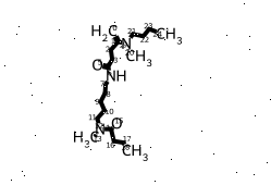 C=C(CCC(=O)NCCCCCN(C)C(=O)CCC)N(C)CCCC